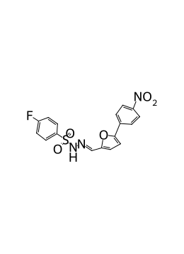 O=[N+]([O-])c1ccc(-c2ccc(C=NNS(=O)(=O)c3ccc(F)cc3)o2)cc1